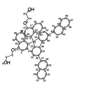 OCCOc1ccc(C2(c3ccc(OCCO)c4ccccc34)c3ccc(-c4ccc5ccccc5c4)cc3-c3cc(-c4ccc5ccccc5c4)ccc32)c2ccccc12